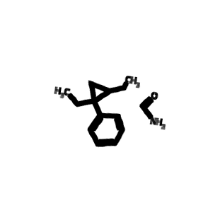 CCC1CC1(CC)c1ccccc1.NC=O